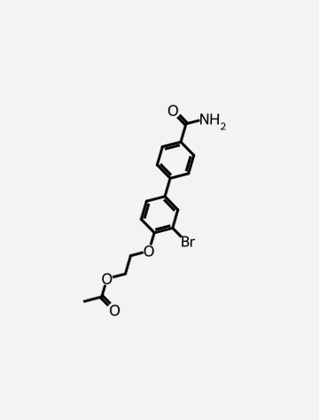 CC(=O)OCCOc1ccc(-c2ccc(C(N)=O)cc2)cc1Br